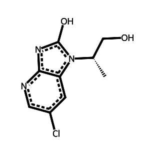 C[C@@H](CO)n1c(O)nc2ncc(Cl)cc21